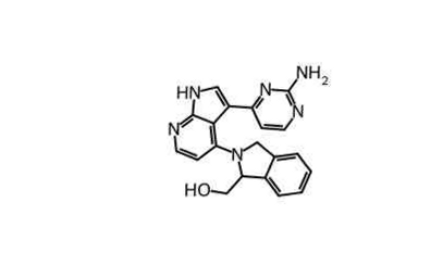 Nc1nccc(-c2c[nH]c3nccc(N4Cc5ccccc5C4CO)c23)n1